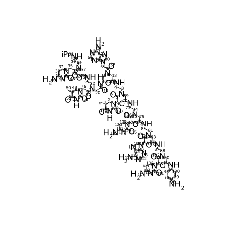 Cc1cn(CC(=O)N(CCNC(=O)CN(CCNC(=O)CN(CCNC(=O)CN(CCNC(C)C)C(=O)Cn2ccc(N)nc2=O)C(=O)Cn2cc(C)c(=O)[nH]c2=O)C(=O)Cn2cnc3c(N)ncnc32)CC(=O)NCCN(CC(=O)NCCN(CC(=O)NCCN(CC(=O)Nc2ccc(N)cc2)C(=O)Cn2ccc(N)nc2=O)C(=O)Cn2cnc3c(N)ncnc32)C(=O)Cn2ccc(N)nc2=O)c(=O)[nH]c1=O